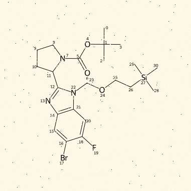 CC(C)(C)OC(=O)N1CCCC1c1nc2cc(Br)c(F)cc2n1COCC[Si](C)(C)C